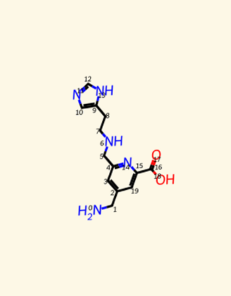 NCc1cc(CNCCc2cnc[nH]2)nc(C(=O)O)c1